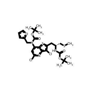 CSC[C@@H](Cc1sc2c(N(Cc3ccco3)C(=O)OC(C)(C)C)cc(Cl)nc2c1Cl)NC(=O)OC(C)(C)C